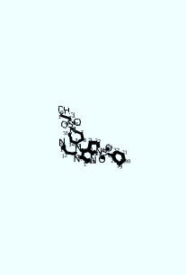 CCCS(=O)(=O)N1CCC(n2c(CC#N)nc3cnc4c(ccn4S(=O)(=O)c4ccccc4)c32)CC1